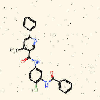 Cc1cc(-c2ccccc2)ncc1C(=O)Nc1ccc(Cl)c(NC(=O)c2ccccc2)c1